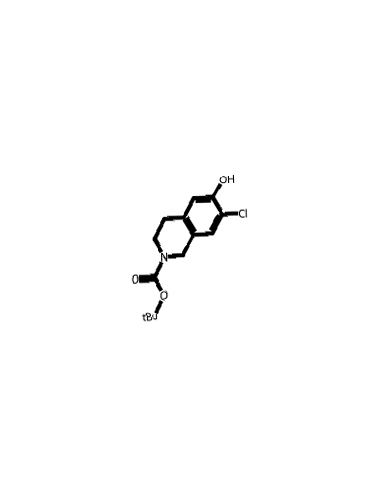 CC(C)(C)OC(=O)N1CCc2cc(O)c(Cl)cc2C1